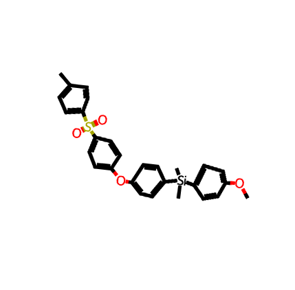 COc1ccc([Si](C)(C)c2ccc(Oc3ccc(S(=O)(=O)c4ccc(C)cc4)cc3)cc2)cc1